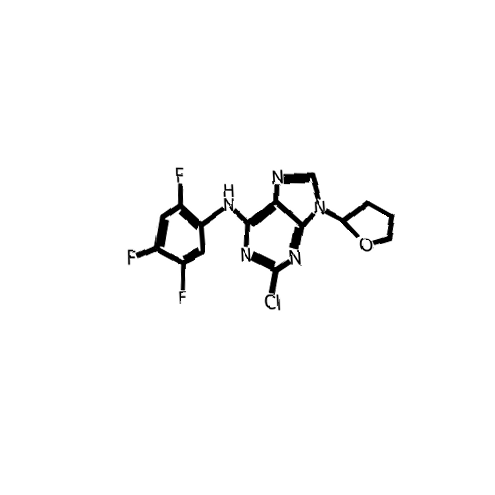 Fc1cc(F)c(Nc2nc(Cl)nc3c2ncn3C2CCCO2)cc1F